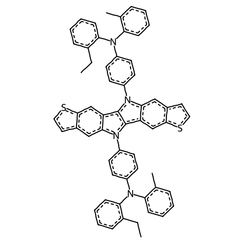 CCc1ccccc1N(c1ccc(-n2c3cc4ccsc4cc3c3c2c2cc4sccc4cc2n3-c2ccc(N(c3ccccc3C)c3ccccc3CC)cc2)cc1)c1ccccc1C